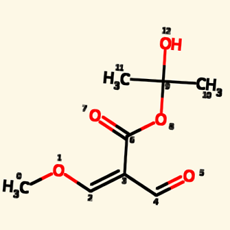 COC=C(C=O)C(=O)OC(C)(C)O